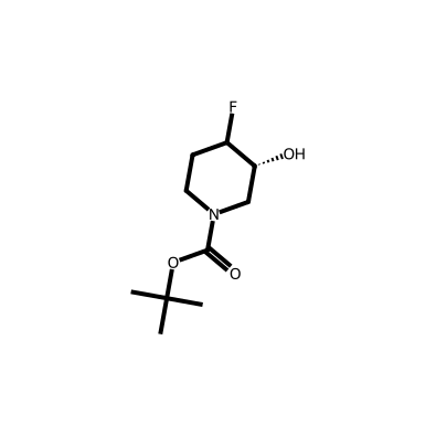 CC(C)(C)OC(=O)N1CCC(F)[C@H](O)C1